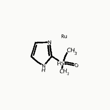 C[SH](C)(=O)c1ncc[nH]1.[Ru]